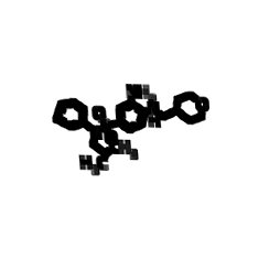 CC(C)CN(c1ccccc1)S(=O)(=O)c1ccc(NCC2CCOCC2)c(N)c1